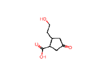 O=C1CC(CCO)C(C(=O)O)C1